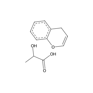 C1=COc2ccccc2C1.CC(O)C(=O)O